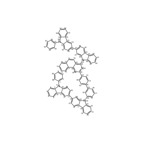 c1ccc(-n2c3ccccc3c3cc(-c4ccc5c6ccccc6n(-c6cccc(-c7ccc(-c8nc(-n9c%10ccccc%10c%10ccc(-c%11ccc%12c(c%11)c%11ccccc%11n%12-c%11ccccc%11)cc%109)c9ccc%10ccccc%10c9n8)cc7)c6)c5c4)ccc32)cc1